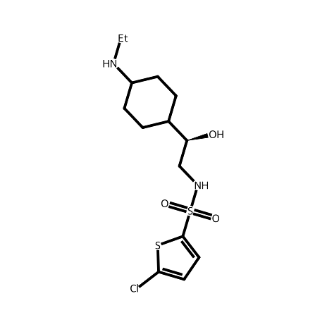 CCNC1CCC([C@@H](O)CNS(=O)(=O)c2ccc(Cl)s2)CC1